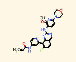 C=CC(=O)Nc1ccnc(-c2c(F)ccc3cnc(Nc4ccc(N5CCOCC5)nc4OC)nc23)c1